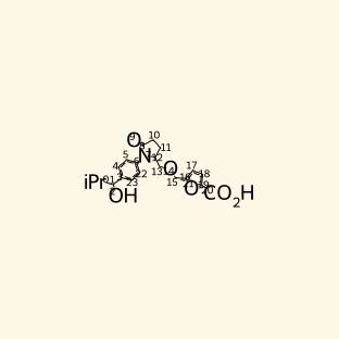 CC(C)C(O)c1ccc(N2C(=O)CCC2COCc2ccc(C(=O)O)o2)cc1